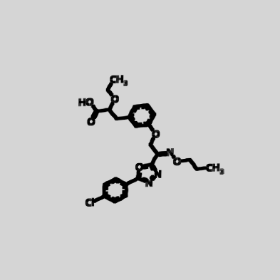 CCCON=C(COc1cccc(CC(OCC)C(=O)O)c1)c1nnc(-c2ccc(Cl)cc2)o1